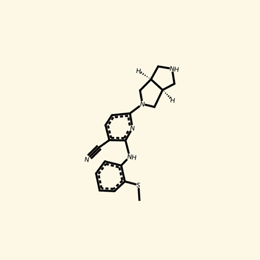 CSc1ccccc1Nc1nc(N2C[C@H]3CNC[C@H]3C2)ccc1C#N